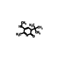 CBc1cn(C(C)(C)C)c(=O)nc1C